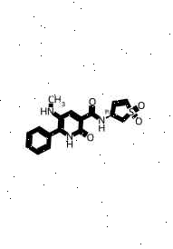 CNc1cc(C(=O)N[C@@H]2C=CS(=O)(=O)C2)c(=O)[nH]c1-c1ccccc1